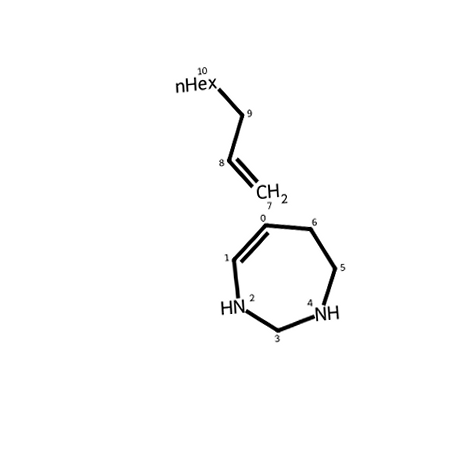 C1=CNCNCC1.C=CCCCCCCC